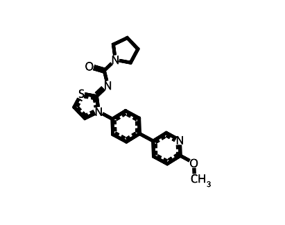 COc1ccc(-c2ccc(-n3ccsc3=NC(=O)N3CCCC3)cc2)cn1